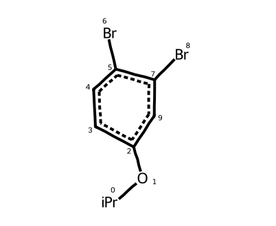 CC(C)Oc1ccc(Br)c(Br)c1